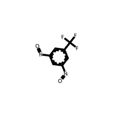 O=Nc1cc(N=O)cc(C(F)(F)F)c1